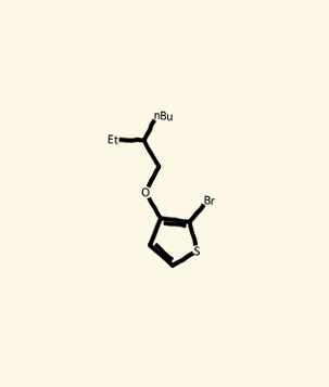 CCCCC(CC)COc1ccsc1Br